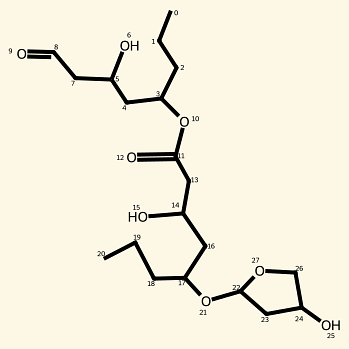 CCCC(CC(O)CC=O)OC(=O)CC(O)CC(CCC)OC1CC(O)CO1